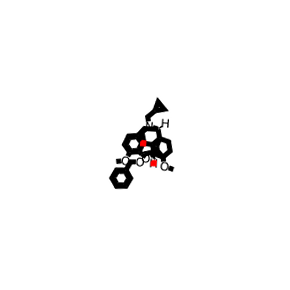 COc1ccc2c3c1O[C@H]1C4(OC)CCC5(C[C@]4(C)COCc4ccccc4)[C@@H](C2)N(CC2CC2)CC[C@]315